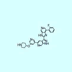 Fc1ccccc1-c1cncc2[nH]c(-c3n[nH]c4cnc(-c5cncc(OC6CCNCC6)c5)cc34)nc12